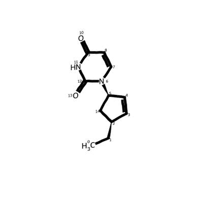 CC[C@@H]1C=C[C@H](n2ccc(=O)[nH]c2=O)C1